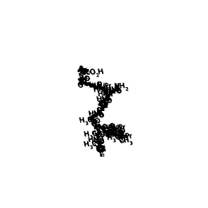 CC[C@H](C)C([C@@H](CC(=O)N1C[C@@H](OC(=O)N(C)CCNC(=O)OCc2ccc(NC(=O)[C@H](CCCNC(N)=O)NC(=O)[C@@H](NC(=O)CCCCCN3C(=O)CC(SCC4(CC(=O)O)CC4)C3=O)C(C)C)cc2)C[C@H]1[C@H](OC)[C@@H](C)C(=O)N[C@@H](C)C(=O)c1ccc(F)cc1)OC)N(C)C(=O)[C@@H](NC(=O)[C@H](C(C)C)N(C)C)C(C)C